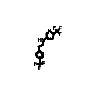 FC(F)(F)c1ccc(CCNc2ccc(C(F)(F)F)nc2)cc1